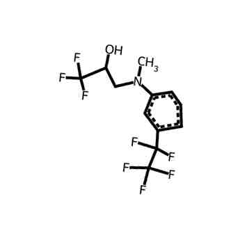 CN(CC(O)C(F)(F)F)c1cccc(C(F)(F)C(F)(F)F)c1